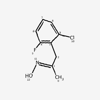 CC(Cc1c(F)cccc1Cl)=NO